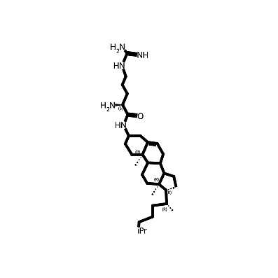 CC(C)CCC[C@@H](C)[C@H]1CCC2C3CC=C4CC(NC(=O)[C@@H](N)CCCNC(=N)N)CC[C@]4(C)C3CC[C@@]21C